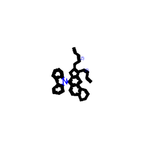 C=C/C=C\CC1=C(/C=C\C=C)c2cc3c4c(ccc3c(-n3c5ccccc5c5ccccc53)c2C1)CCC=C4